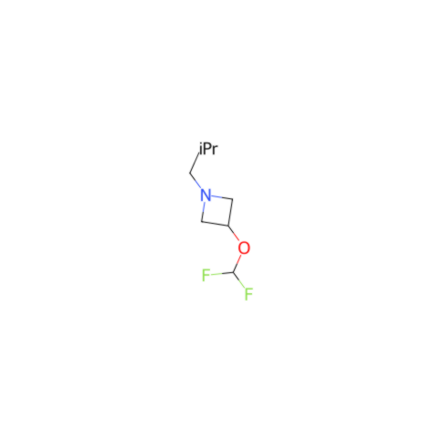 CC(C)CN1CC(OC(F)F)C1